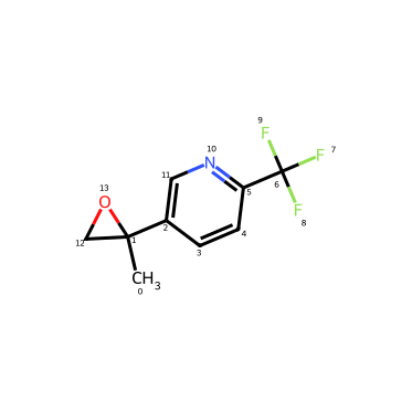 CC1(c2ccc(C(F)(F)F)nc2)CO1